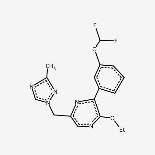 CCOc1ncc(Cn2cnc(C)n2)nc1-c1cccc(OC(F)F)c1